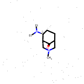 CCN(CC)[C@H]1CCC2CN(C)CC1C2=O